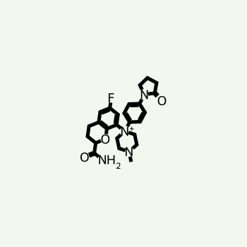 CN1CC[N+](c2ccc(N3CCCC3=O)cc2)(c2cc(F)cc3c2OC(C(N)=O)CC3)CC1